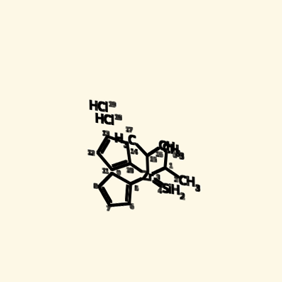 C[CH](C)[Zr](=[SiH2])([C]1=CC=CC1)([C]1=CC=CC1)[CH](C)C.Cl.Cl